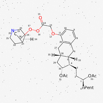 CCCCC[C@@H](CC[C@@H]1[C@H]2Cc3cccc(OCC(=O)OO[C@@H]4CN5CCC4CC5)c3C[C@H]2C[C@H]1OC(C)=O)OC(C)=O